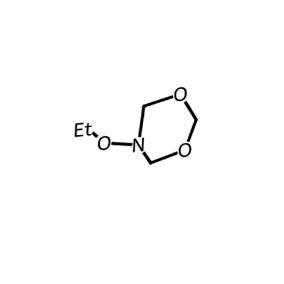 CCON1COCOC1